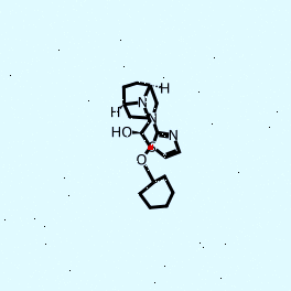 O[C@H](COC1CCCCC1)CN1[C@@H]2CC[C@H]1CN(c1nccs1)C2